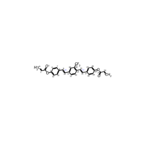 C=CC(=O)Oc1ccc(/C=C/c2ccc(/C=C/c3ccc(OC(=O)C=C)cc3)c(C(F)(F)F)c2)cc1